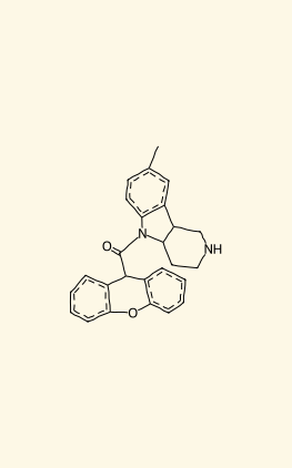 Cc1ccc2c(c1)C1CNCCC1N2C(=O)C1c2ccccc2Oc2ccccc21